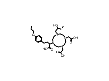 CCCOc1ccc(CCC(C(=O)O)N2CCN(CC(=O)O)CCN(CC(=O)O)CCN(CC(O)OC)CC2)cc1